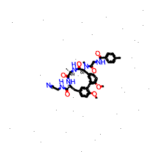 COc1ccc2cc1-c1cc(ccc1OC)[C@H](N(C)C(=O)CNC(=O)c1ccc(C)cc1)C(=O)N[C@@H](C)C(=O)N[C@H](C(=O)NCC#N)C2